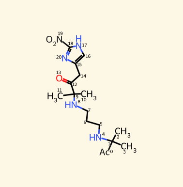 CC(=O)C(C)(C)NCCCNC(C)(C)C(=O)Cc1c[nH]c([N+](=O)[O-])n1